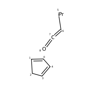 C1=CCC=C1.CC(C)C=C=O